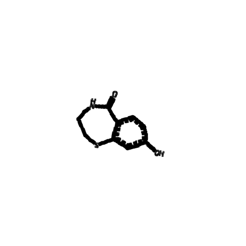 O=C1NCCSc2cc(O)ccc21